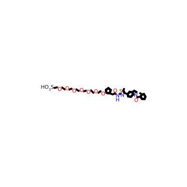 Cc1ccccc1C(=O)n1ccc2cc(-c3nc(NC(=O)Cc4cccc(OCCOCCOCCOCCOCCOCCOCCS(=O)(=O)O)c4)sc3C)ccc21